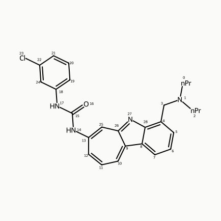 CCCN(CCC)Cc1cccc2c3cccc(NC(=O)Nc4cccc(Cl)c4)cc-3nc12